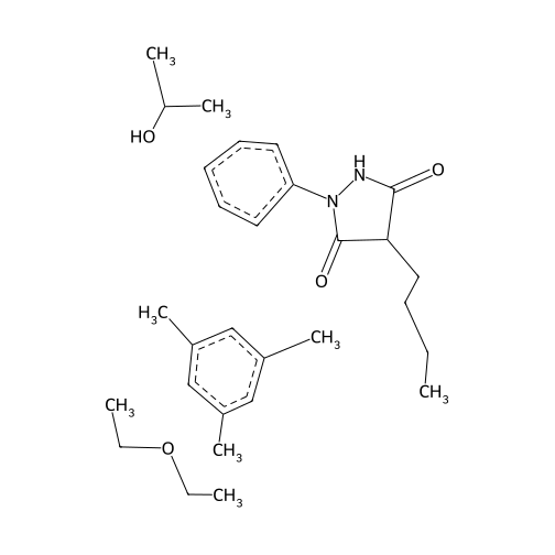 CC(C)O.CCCCC1C(=O)NN(c2ccccc2)C1=O.CCOCC.Cc1cc(C)cc(C)c1